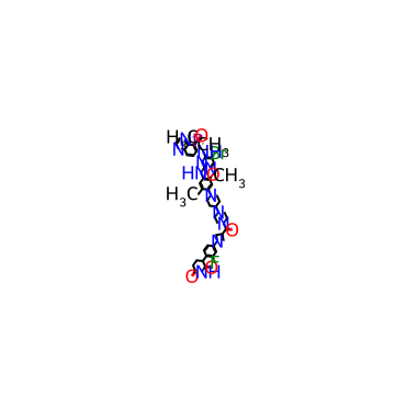 CCc1cc(Nc2ncc(Br)c(Nc3ccc4nccnc4c3P(C)(C)=O)n2)c(OC)cc1N1CCC(N2CCN(C(=O)C3CN(c4ccc(C5CCC(=O)NC5=O)c(F)c4)C3)CC2)CC1